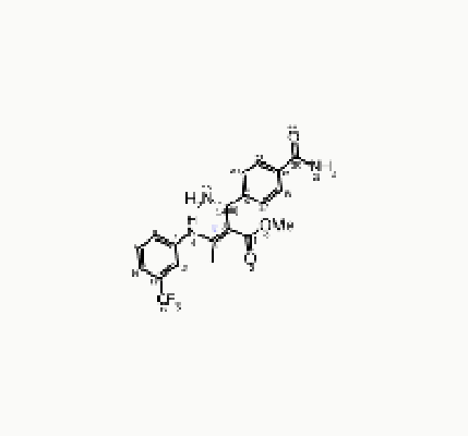 COC(=O)/C(=C(\C)Nc1cccc(C(F)(F)F)c1)[C@H](N)c1ccc(C(N)=O)cc1